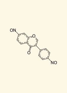 O=Nc1ccc(-c2coc3cc(N=O)ccc3c2=O)cc1